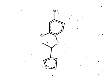 CC(Oc1ccc(N)cc1Cl)c1ccoc1